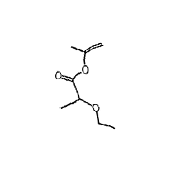 C=C(C)OC(=O)C(C)OCC